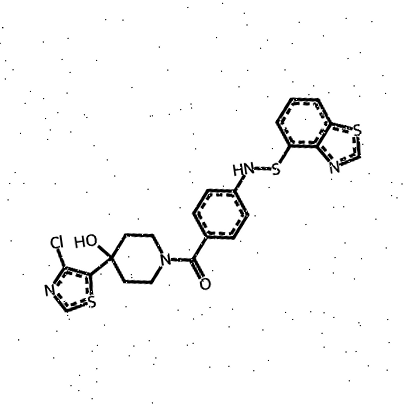 O=C(c1ccc(NSc2cccc3scnc23)cc1)N1CCC(O)(c2scnc2Cl)CC1